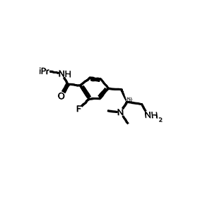 CC(C)NC(=O)c1ccc(C[C@@H](CN)N(C)C)cc1F